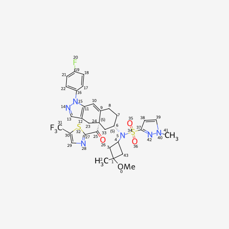 COC1(C)CC(N([C@H]2CCC3=Cc4c(cnn4-c4ccc(F)cc4)C[C@]3(C(=O)c3ncc(C(F)(F)F)s3)C2)S(=O)(=O)c2ccn(C)n2)C1